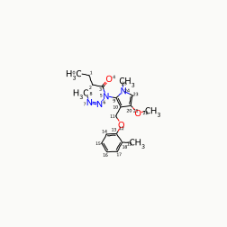 CCCC(=O)N(/N=N\C)c1c(COc2ccccc2C)c(OC)cn1C